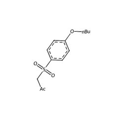 CCCCOc1ccc(S(=O)(=O)CC(C)=O)cc1